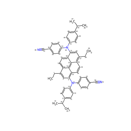 CCc1cc(N(c2ccc(C#N)cc2)c2ccc(C(C)C)cc2)c2ccc3c(CC)cc(N(c4ccc(C#N)cc4)c4ccc(C(C)C)cc4)c4ccc1c2c34